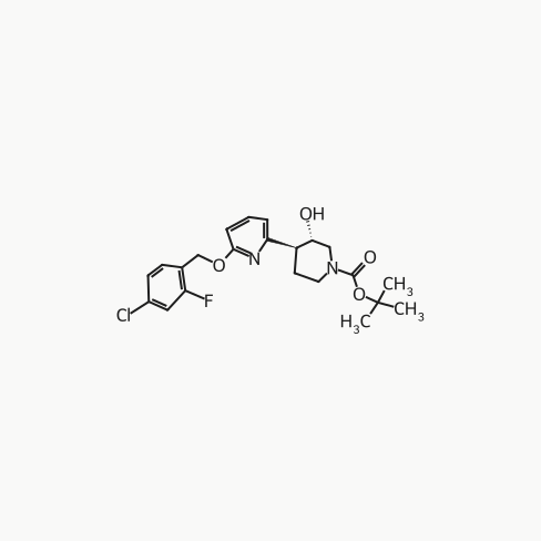 CC(C)(C)OC(=O)N1CC[C@@H](c2cccc(OCc3ccc(Cl)cc3F)n2)[C@H](O)C1